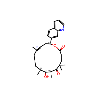 C/C1=C/C[C@@H](c2ccc3cccnc3c2)OC(=O)CCC(C)(C)C(=O)[C@H](C)[C@@H](O)[C@@H](C)CCC1